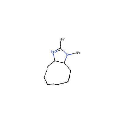 CC(C)C1=NC2CCCCCCC2N1C(C)C